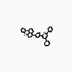 C1=CCC(c2cc(-c3ccccc3)nc(-c3ccc(-c4ccc5c6c(cccc46)-c4ccccc4O5)cc3)c2)C=C1